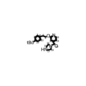 CC(C)(C)c1ccc(CCOc2cc(C(=O)N3CCNCC3)ccn2)cc1